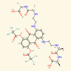 C[C@H](NC(=O)[C@H](C)NCCNc1ccc(NCCN[C@@H](C)C(=O)N[C@@H](C)C(=O)O)c2c1C(=O)c1c(OC(=O)C(F)(F)F)ccc(OC(=O)C(F)(F)F)c1C2=O)C(=O)O